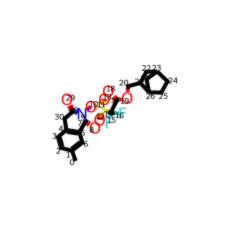 Cc1ccc2c(c1)C(=O)N(OS(=O)(=O)C(F)(F)C(=O)OCC1CC3CCC1C3)C(=O)C2